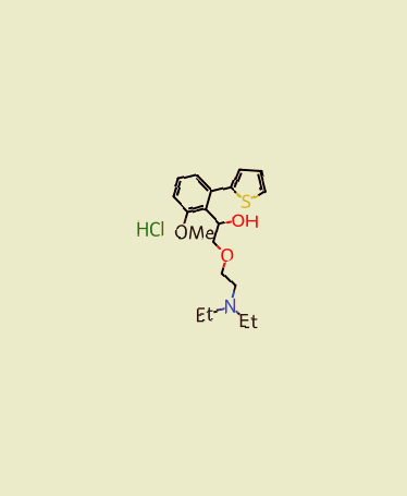 CCN(CC)CCOCC(O)c1c(OC)cccc1-c1cccs1.Cl